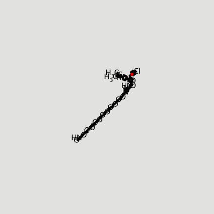 Cc1nc(C2CCC(N3CC(C(=O)NCc4cn(CCOCCOCCOCCOCCOCCOCCOCCOCCOCCOCCOCCNC=O)nn4)OCC3Cc3ccc(Cl)cc3)CC2)sc1C